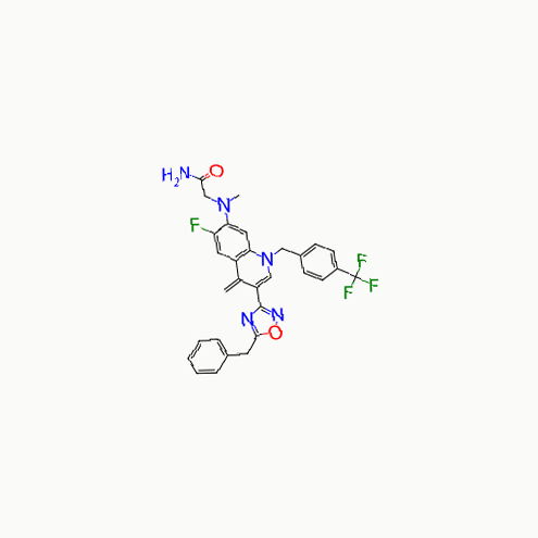 C=C1C(c2noc(Cc3ccccc3)n2)=CN(Cc2ccc(C(F)(F)F)cc2)c2cc(N(C)CC(N)=O)c(F)cc21